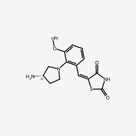 CCCOc1cccc(C=C2SC(=O)NC2=O)c1N1CC[C@H](N)C1